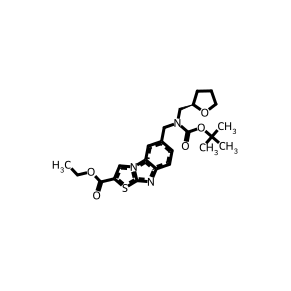 CCOC(=O)c1cn2c(nc3ccc(CN(C[C@H]4CCCO4)C(=O)OC(C)(C)C)cc32)s1